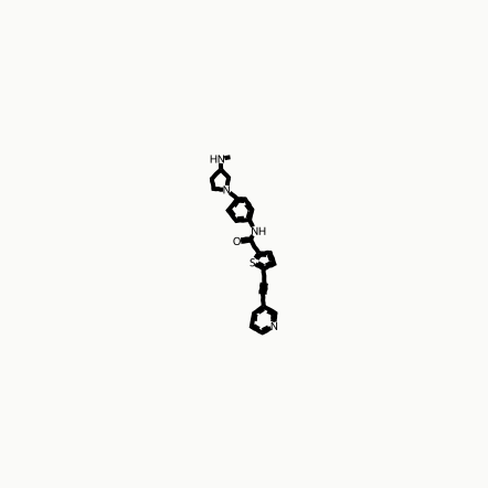 CNC1CCN(c2ccc(NC(=O)c3ccc(C#Cc4cccnc4)s3)cc2)C1